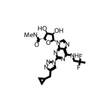 CNC(=O)[C@H]1O[C@@H](n2cnc3c(NCC(C)(F)F)nc(-n4cc(CC5CC5)nn4)nc32)[C@H](O)[C@@H]1O